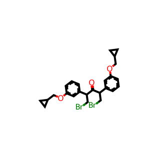 O=C(C(CBr)c1cccc(OCC2CC2)c1)C(CBr)c1cccc(OCC2CC2)c1